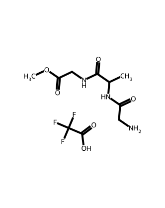 COC(=O)CNC(=O)C(C)NC(=O)CN.O=C(O)C(F)(F)F